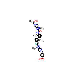 Cc1c(/C=C(\F)c2nc3c(n2C)CCN(C[C@H]2CC[C@H](C(=O)O)CC2)C3)cccc1-c1cccc(NC(=O)c2nc3c(n2C)CCN(C[C@@H](C)O)C3)c1C